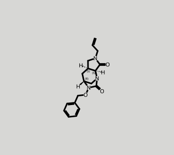 C=CCN1C[C@@H]2C[C@@H]3CN(C(=O)N3OCc3ccccc3)[C@@H]2C1=O